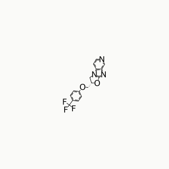 FC(F)(F)c1ccc(OC[C@@H]2Cn3c(nc4cnccc43)O2)cc1